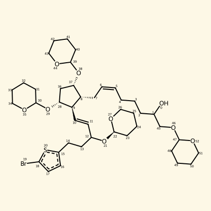 OC(CCC/C=C\C[C@@H]1[C@@H](/C=C/C(CCc2ccc(Br)s2)O[C@@H]2CCCCO2)[C@H](OC2CCCCO2)C[C@@H]1OC1CCCCO1)COC1CCCCO1